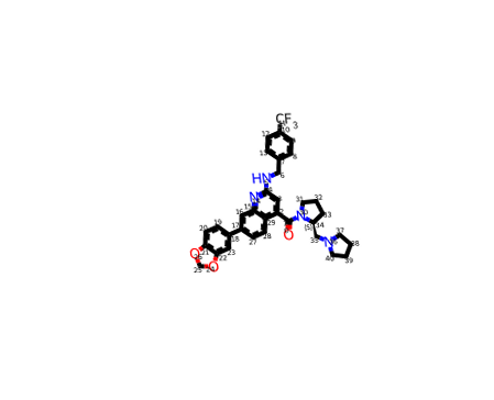 O=C(c1cc(NCc2ccc(C(F)(F)F)cc2)nc2cc(-c3ccc4c(c3)OCO4)ccc12)N1CCC[C@H]1CN1CCCC1